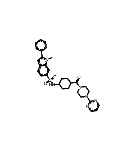 Cn1c(-c2ccccc2)cc2ccc(S(=O)(=O)NC3CCC(C(=O)N4CCN(c5ncccn5)CC4)CC3)cc21